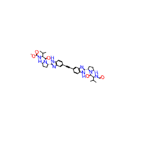 COC(=O)NC(C(=O)N1CCC[C@H]1c1nc2cc(C#Cc3ccc4[nH]c([C@@H]5CCCN5C(=O)C(NC=O)C(C)C)nc4c3)ccc2[nH]1)C(C)C